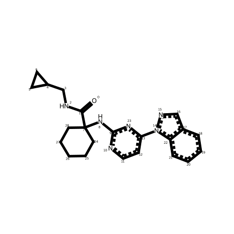 O=C(NCC1CC1)C1(Nc2nccc(-n3ncc4ccccc43)n2)CCCCC1